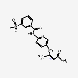 CS(=O)(=O)c1cccc(C(=O)Nc2ccc(N/C(=C\C(N)=O)C(F)(F)F)cn2)c1